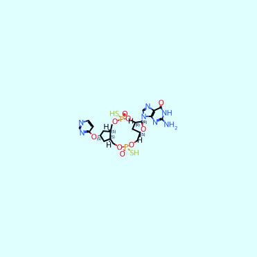 Nc1nc2c(ncn2[C@@H]2O[C@@H]3COP(=O)(S)OC[C@H]4C[C@H](Oc5ccncn5)C[C@@H]4COP(=O)(S)O[C@@H]2C3)c(=O)[nH]1